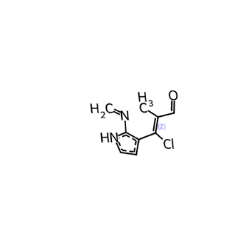 C=Nc1[nH]ccc1/C(Cl)=C(\C)C=O